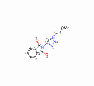 COCCn1cc(N2C(=O)c3ccccc3C2=O)nn1